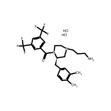 Cc1ccc(C[C@@H]2CN(CCCN)CCN2C(=O)c2cc(C(F)(F)F)cc(C(F)(F)F)c2)cc1C.Cl.Cl